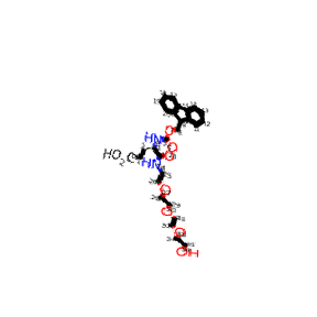 O=C(O)CC[C@H](NC(=O)OCC1c2ccccc2-c2ccccc21)C(=O)NCCOCCOCCOCCO